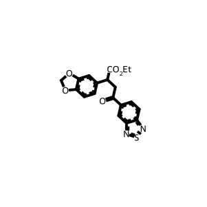 CCOC(=O)C(CC(=O)c1ccc2nsnc2c1)c1ccc2c(c1)OCO2